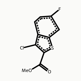 COC(=O)c1sc2cc(F)ccc2c1Cl